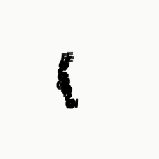 O=C(Oc1ccc(Cc2ccc(C(F)(F)F)cc2)cc1)N1CCN(CCc2cccnc2)CC1